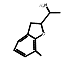 Cc1cccc2c1OC(C(C)N)C2